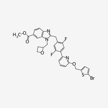 COC(=O)c1ccc2nc(Cc3cc(F)c(-c4cccc(OCc5ccc(Br)s5)n4)cc3F)n(CC3CCO3)c2c1